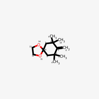 C=C1C(C)(C)CC2(CC1(C)C)OCCO2